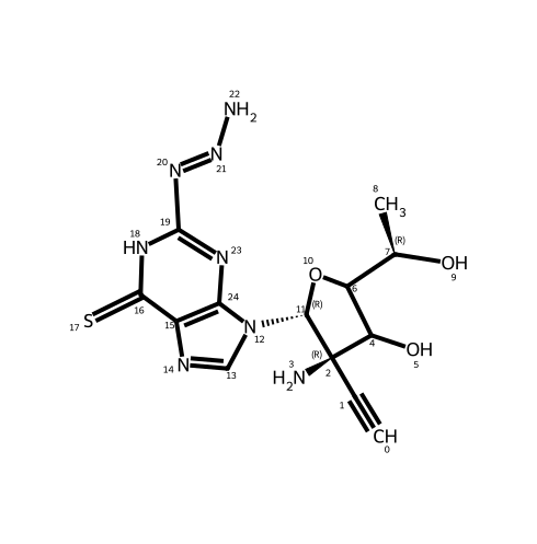 C#C[C@@]1(N)C(O)C([C@@H](C)O)O[C@H]1n1cnc2c(=S)[nH]c(N=NN)nc21